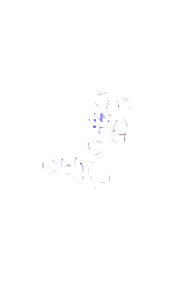 CCCN(Cc1ccc(-c2ccccc2-c2nnnn2C(c2ccccc2)(c2ccccc2)c2ccccc2)cc1)c1nc2ccccc2cc1C(=O)OCC